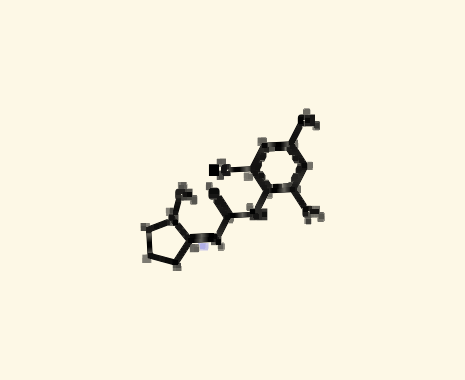 Cc1cc(C)c(NC(=O)/N=C2/CCCN2C)c(C)c1